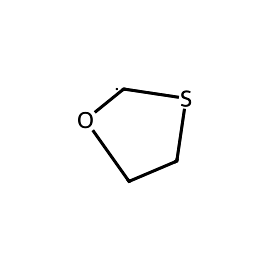 [CH]1OCCS1